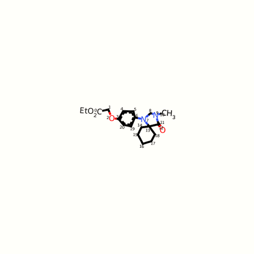 CCOC(=O)COc1ccc(N2CN(C)C(=O)C23CCCCC3)cc1